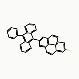 Fc1cc2ccc3cc(-c4c5ccccc5c(-c5ccccc5)c5ccccc45)cc4ccc(c1)c2c34